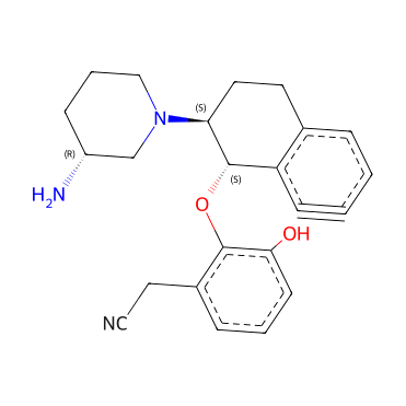 N#CCc1cccc(O)c1O[C@H]1c2c#cccc2CC[C@@H]1N1CCC[C@@H](N)C1